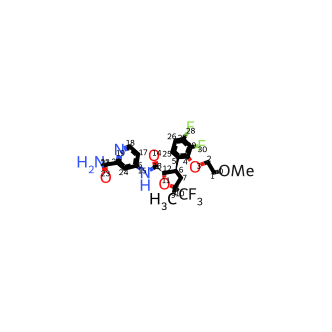 COCCOc1c([C@H]2C[C@@](C)(C(F)(F)F)O[C@@H]2C(=O)Nc2ccnc(C(N)=O)c2)ccc(F)c1F